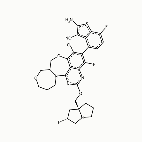 N#Cc1c(N)sc2c(F)ccc(-c3c(Cl)c4c5c(nc(OC[C@@]67CCCN6C[C@H](F)C7)nc5c3F)N3CCCOCC3CO4)c12